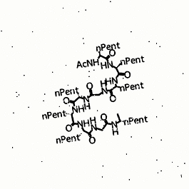 CCCCC[C@@H](C)NC(=O)CNC(=O)[C@H](CCCCC)NC(=O)[C@H](CCCCC)NC(=O)[C@H](CCCCC)NC(=O)CNC(=O)[C@H](CCCCC)NC(=O)[C@H](CCCCC)NC(=O)[C@H](CCCCC)NC(C)=O